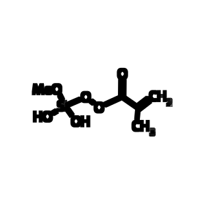 C=C(C)C(=O)OO[Si](O)(O)OC